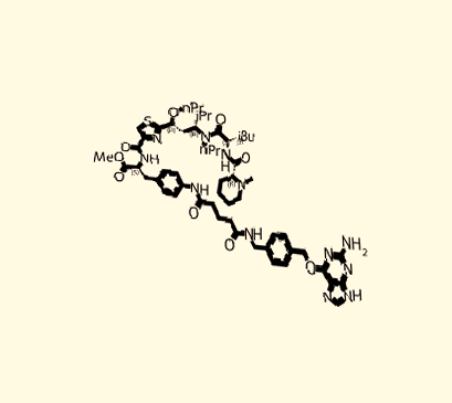 CCCO[C@H](C[C@H](C(C)C)N(CCC)C(=O)[C@@H](NC(=O)[C@H]1CCCCN1C)[C@@H](C)CC)c1nc(C(=O)N[C@@H](Cc2ccc(NC(=O)CCCC(=O)NCc3ccc(COc4nc(N)nc5[nH]cnc45)cc3)cc2)C(=O)OC)cs1